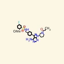 C=CC(=O)N1CCC[C@@H](n2nc(-c3ccc(CNS(=O)(=O)c4cc(F)ccc4OC)cc3)c3c(N)ncnc32)C1